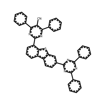 N#Cc1c(-c2ccccc2)nc(-c2cccc3c2sc2cc(-c4nc(-c5ccccc5)nc(-c5ccccc5)n4)ccc23)nc1-c1ccccc1